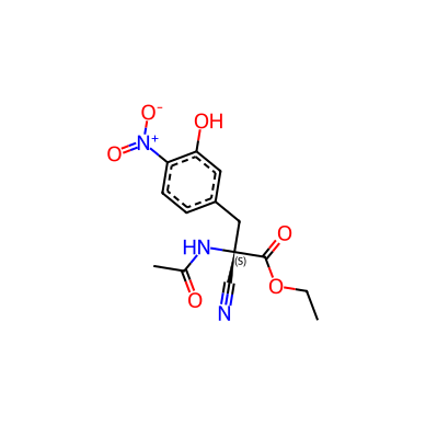 CCOC(=O)[C@@](C#N)(Cc1ccc([N+](=O)[O-])c(O)c1)NC(C)=O